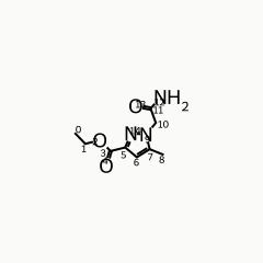 CCOC(=O)c1cc(C)n(CC(N)=O)n1